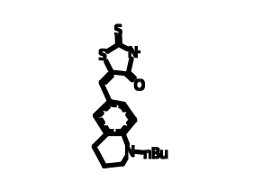 CCCCN1CCCc2cc(C=C3SC(=S)[N]C3=O)ccc21